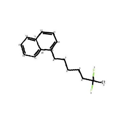 [CH2]CC(F)(F)CCCCCc1cccc2ccccc12